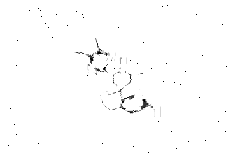 Cc1nc([C@@H]2C[C@]3(C[C@H](C)N2)OCCc2cc(Cl)sc23)[nH]c1C